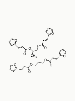 CC(COC(=O)C=Cc1ccco1)OC(=O)C=Cc1ccco1.O=C(C=Cc1ccco1)OCCCOC(=O)C=Cc1ccco1